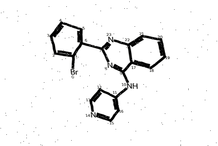 Brc1ccccc1-c1nc(Nc2ccncc2)c2ccccc2n1